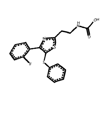 O=C(O)NCCc1nc(-c2ccccc2F)c(Sc2ccccc2)s1